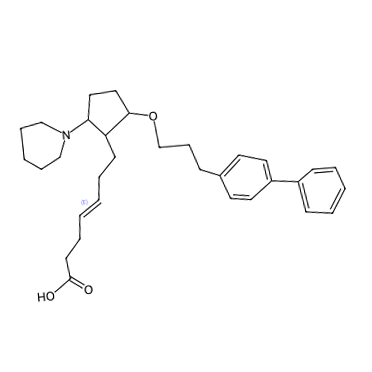 O=C(O)CC/C=C/CCC1C(OCCCc2ccc(-c3ccccc3)cc2)CCC1N1CCCCC1